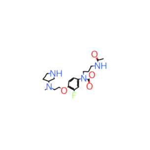 CC(=O)NCC1CN(c2ccc(OCCN(C)C3CCNC3)c(F)c2)C(=O)O1